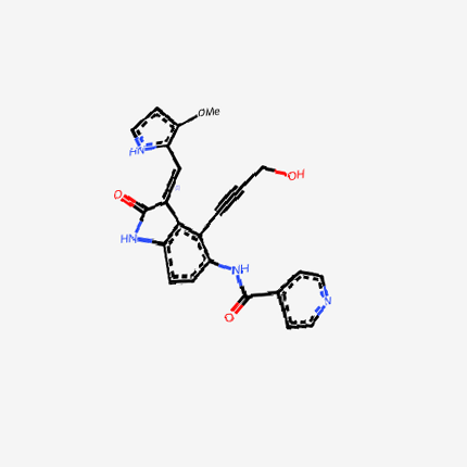 COc1cc[nH]c1/C=C1\C(=O)Nc2ccc(NC(=O)c3ccncc3)c(C#CCO)c21